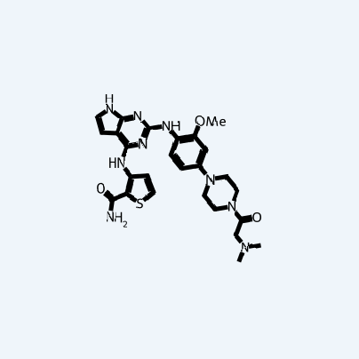 COc1cc(N2CCN(C(=O)CN(C)C)CC2)ccc1Nc1nc(Nc2ccsc2C(N)=O)c2cc[nH]c2n1